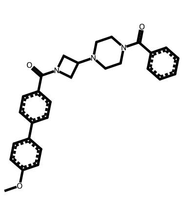 COc1ccc(-c2ccc(C(=O)N3CC(N4CCN(C(=O)c5ccccc5)CC4)C3)cc2)cc1